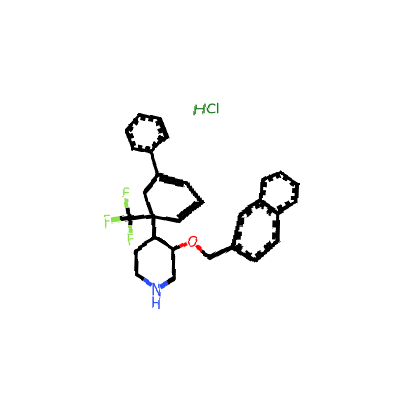 Cl.FC(F)(F)C1(C2CCNCC2OCc2ccc3ccccc3c2)C=CC=C(c2ccccc2)C1